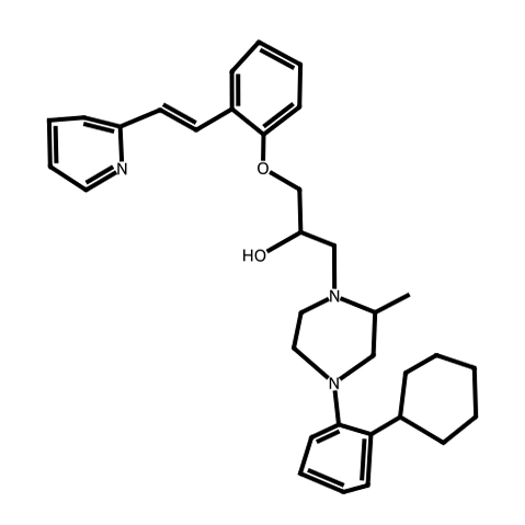 CC1CN(c2ccccc2C2CCCCC2)CCN1CC(O)COc1ccccc1C=Cc1ccccn1